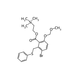 COCOc1ccc(Br)c(CSc2ccccc2)c1C(=O)OCC[Si](C)(C)C